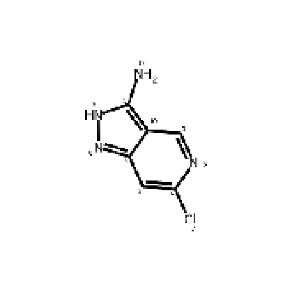 Nc1[nH]nc2cc(Cl)ncc12